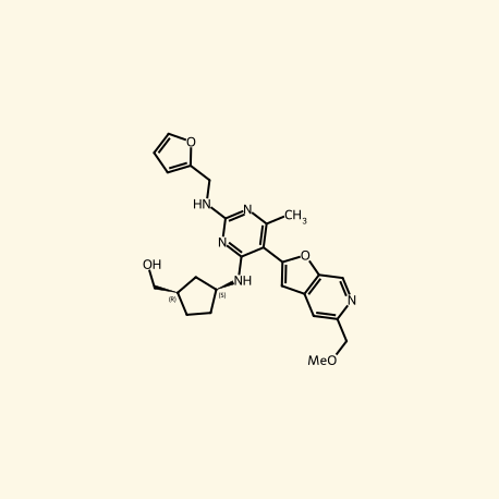 COCc1cc2cc(-c3c(C)nc(NCc4ccco4)nc3N[C@H]3CC[C@@H](CO)C3)oc2cn1